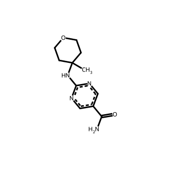 CC1(Nc2ncc(C(N)=O)cn2)CCOCC1